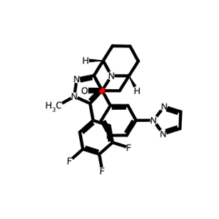 Cn1nc2c(c1-c1cc(F)c(F)c(F)c1)C[C@H]1CCC[C@@H]2N1C(=O)c1cncc(-n2nccn2)c1